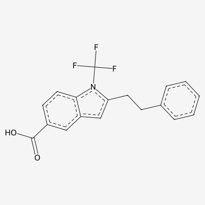 O=C(O)c1ccc2c(c1)cc(CCc1ccccc1)n2C(F)(F)F